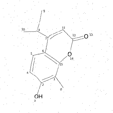 Cc1c(O)ccc2c(C(C)C)cc(=O)oc12